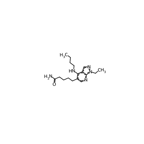 CCCCNc1c(CCCCC(N)=O)cnc2c1cnn2CC